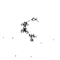 CCCCCCCCN1CC(=O)N(c2ccc(S(=O)(=O)Nc3ccc(CCNCC(O)c4cccnc4)cc3)cc2)C1=O